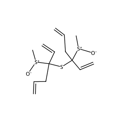 C=CCC(C=C)(SC(C=C)(CC=C)[S+](C)[O-])[S+](C)[O-]